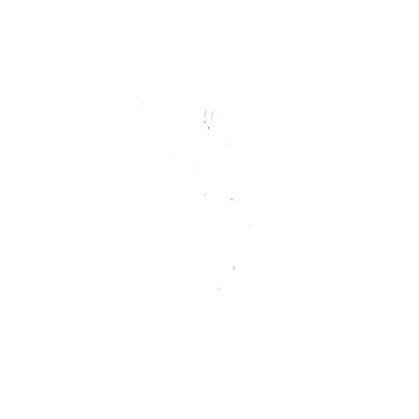 Cc1cc2cc(OCCO)ccc2[nH]1